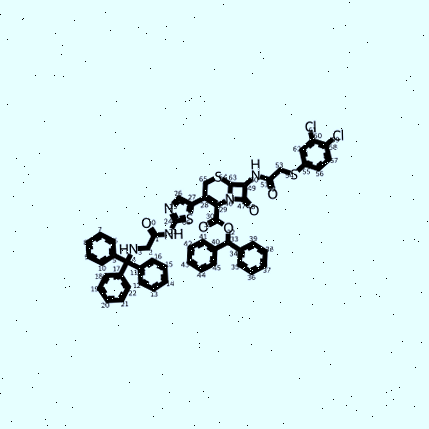 O=C(CNC(c1ccccc1)(c1ccccc1)c1ccccc1)Nc1ncc(C2=C(C(=O)OC(c3ccccc3)c3ccccc3)N3C(=O)C(NC(=O)CSc4ccc(Cl)c(Cl)c4)C3SC2)s1